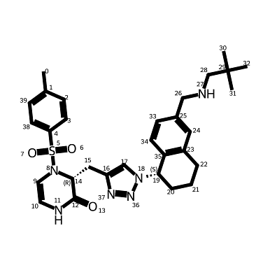 Cc1ccc(S(=O)(=O)N2C=CNC(=O)[C@H]2Cc2cn([C@H]3CCCc4cc(CNCC(C)(C)C)ccc43)nn2)cc1